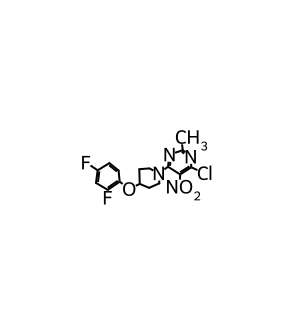 Cc1nc(Cl)c([N+](=O)[O-])c(N2CCC(Oc3ccc(F)cc3F)CC2)n1